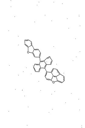 c1ccc2c(c1)oc1cc(-c3c4ccccc4c(-c4ccc5oc6cccc7ccc4c5c76)c4ccccc34)ccc12